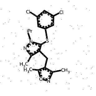 Cc1noc(C)c1Cc1c(C)nn(C(C)C)c1Sc1cc(Cl)cc(Cl)c1